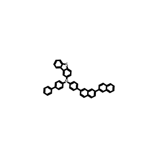 c1ccc(-c2ccc(N(c3ccc(-c4ccc5ccc(-c6ccc7ccccc7c6)cc5c4)cc3)c3ccc4sc5ccccc5c4c3)cc2)cc1